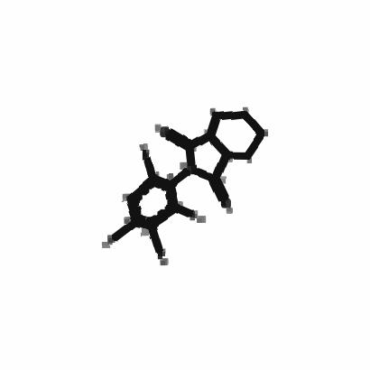 O=C1C2CCCCC2C(=O)N1c1c(F)cc(F)c(F)c1F